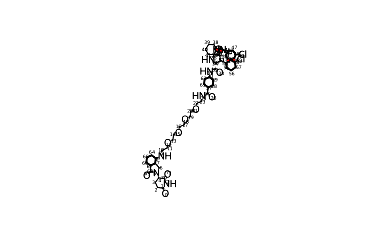 O=C1CCC(N2Cc3c(NCCOCCOCCOCCOCCNC(=O)c4ccc(NC(=O)[C@@H]5NC6(CCCCC6)[C@@]6(C(=O)Nc7cc(Cl)ccc76)[C@H]5c5cccc(Cl)c5F)cc4)cccc3C2=O)C(=O)N1